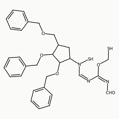 O=C/N=C(\N=C/N(S)C1CC(COCc2ccccc2)C(OCc2ccccc2)C1OCc1ccccc1)OCS